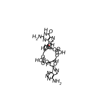 CO[C@H]1[C@H]2OP(=O)(O)OC[C@H]3O[C@@H](n4ncc5c(N)nnnc54)C[C@]3(F)OP(=O)(O)OC[C@H]1O[C@H]2n1cnc2c(=O)[nH]c(N)nc21